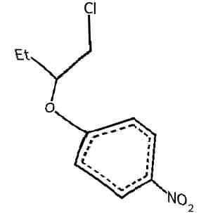 CCC(CCl)Oc1ccc([N+](=O)[O-])cc1